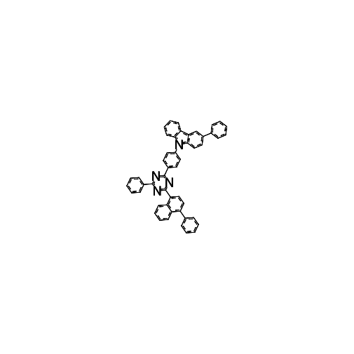 c1ccc(-c2ccc3c(c2)c2ccccc2n3-c2ccc(-c3nc(-c4ccccc4)nc(-c4ccc(-c5ccccc5)c5ccccc45)n3)cc2)cc1